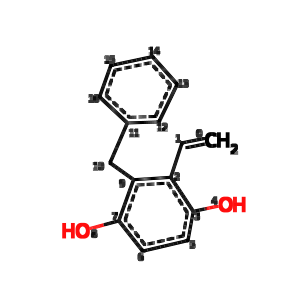 C=Cc1c(O)ccc(O)c1Cc1ccccc1